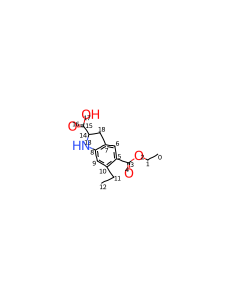 CCOC(=O)c1cc2c(cc1CC)NC(C(=O)O)C2